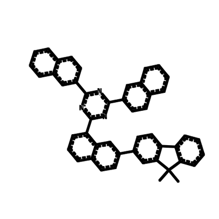 CC1(C)c2ccccc2-c2ccc(-c3ccc4cccc(-c5nc(-c6ccc7ccccc7c6)nc(-c6ccc7ccccc7c6)n5)c4c3)cc21